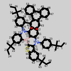 CCC(C)(C)c1ccc(N2c3cccc4c3B(c3cc(C(C)(C)CC)ccc3N4c3ccc(C(C)(C)CC)cc3-c3cccc4c5ccccc5c5ccccc5c34)c3sc4ccc(C(C)(C)CC)cc4c32)cc1